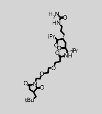 CC(C)C(=O)[C@H](CCCNC(N)=O)CC(=O)[C@@H](NC(=O)CCOCCOCCN1C(=O)CC(CC(C)(C)C)C1=O)C(C)C